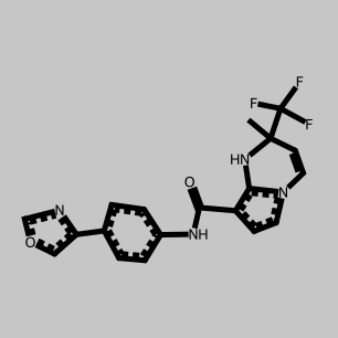 CC1(C(F)(F)F)C=Cn2ccc(C(=O)Nc3ccc(-c4cocn4)cc3)c2N1